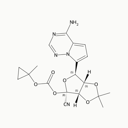 CC1(OC(=O)O[C@@]2(C#N)O[C@@H](c3ccc4c(N)ncnn34)[C@@H]3OC(C)(C)O[C@@H]32)CC1